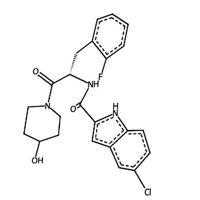 O=C(N[C@@H](Cc1ccccc1F)C(=O)N1CCC(O)CC1)c1cc2cc(Cl)ccc2[nH]1